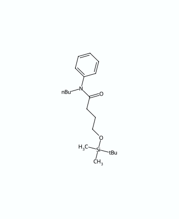 CCCCN(C(=O)CCCO[Si](C)(C)C(C)(C)C)c1ccccc1